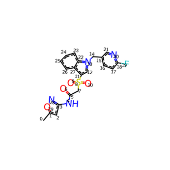 Cc1cc(NC(=O)CS(=O)(=O)c2cn(Cc3ccc(F)nc3)c3ccccc23)no1